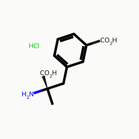 C[C@](N)(Cc1cccc(C(=O)O)c1)C(=O)O.Cl